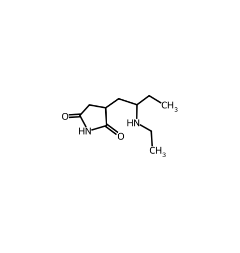 CCNC(CC)CC1CC(=O)NC1=O